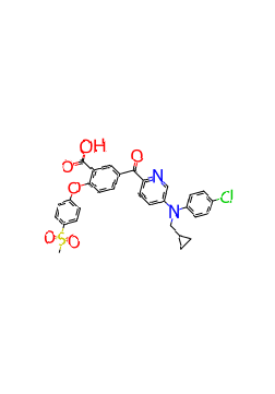 CS(=O)(=O)c1ccc(Oc2ccc(C(=O)c3ccc(N(CC4CC4)c4ccc(Cl)cc4)cn3)cc2C(=O)O)cc1